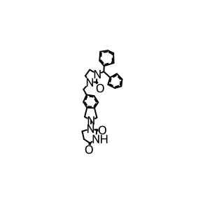 O=C1CCN(N2Cc3ccc(CN4CCN(C(c5ccccc5)c5ccccc5)C4=O)cc3C2)C(=O)N1